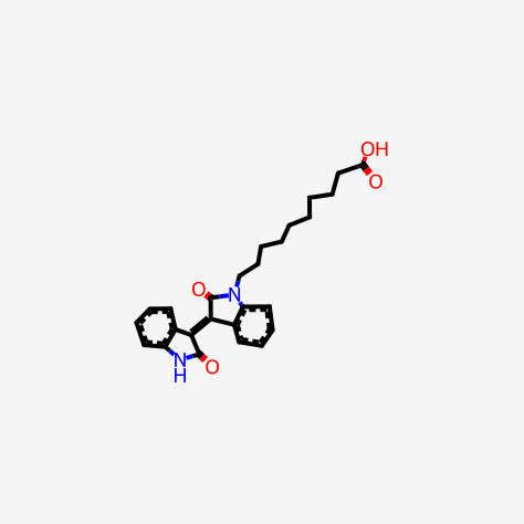 O=C(O)CCCCCCCCCN1C(=O)/C(=C2/C(=O)Nc3ccccc32)c2ccccc21